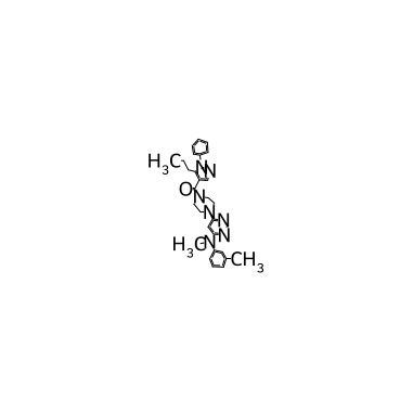 CCCc1c(C(=O)N2CCN(c3cc(N(C)c4cccc(C)c4)ncn3)CC2)cnn1-c1ccccc1